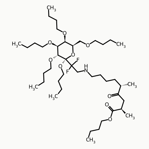 CCCCOC[C@H]1O[C@@](OCCCC)(C(F)(F)CNCCCC[C@H](C)C(=O)C[C@@H](C)C(=O)OCCCC)[C@H](OCCCC)[C@@H](OCCCC)[C@H]1OCCCC